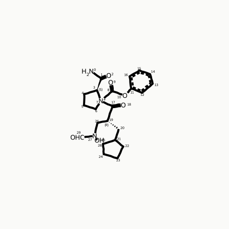 NC(=O)[C@@H]1CCC[N+]1(C(=O)Oc1ccccc1)C(=O)[C@H](CC1CCCC1)CN(O)C=O